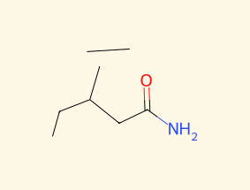 CC.CCC(C)CC(N)=O